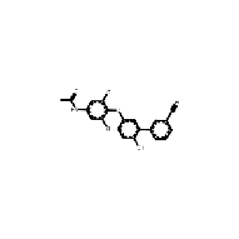 CC(=O)Nc1cc(Cl)c(Oc2ccc(O)c(-c3cccc(C#N)c3)c2)c(Cl)c1